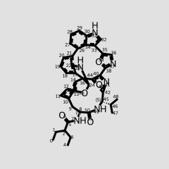 CCC(CC)C(=O)N[C@H]1Cc2ccc3c(c2)C24c5cccc(c5NC2O3)-c2cccc3[nH]cc(c23)-c2cnc(o2)-c2nc(oc24)[C@H](C(C)C)NC1=O